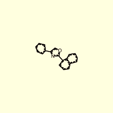 c1ccc(-c2coc(-c3cccc4ccccc34)n2)cc1